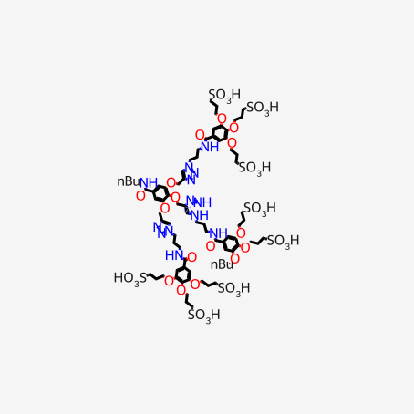 CCCCNC(=O)c1cc(OCc2cn(CCCNC(=O)c3cc(OCCCS(=O)(=O)O)c(OCCCS(=O)(=O)O)c(OCCCS(=O)(=O)O)c3)nn2)c(OC/C(=C/NCCCNC(=O)c2cc(OCCCC)c(OCCCS(=O)(=O)O)c(OCCCS(=O)(=O)O)c2)N=N)c(OCc2cn(CCCNC(=O)c3cc(OCCCS(=O)(=O)O)c(OCCCS(=O)(=O)O)c(OCCCS(=O)(=O)O)c3)nn2)c1